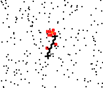 CC(C)(C)CCC(=O)CCC(=O)CCC(C)(C)OP(=O)(O)O